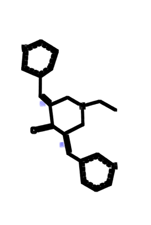 CCN1C/C(=C\c2cccnc2)C(=O)/C(=C/c2cccnc2)C1